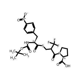 CC(C)(C)OC(=O)N[C@@H](Cc1ccc([N+](=O)[O-])cc1)C(=O)SCC(C(=O)N1CCC[C@H]1C(=O)O)C(F)(F)F